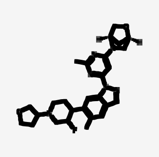 Cc1nc(N2C[C@H]3C[C@@H]2CO3)cc(-n2ncc3cc(C)c(C4CCN(C5CCOC5)CC4F)cc32)n1